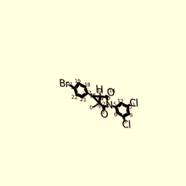 C[C@]12C(=O)N(c3cc(Cl)cc(Cl)c3)C(=O)[C@H]1[C@@H]2c1ccc(Br)cc1